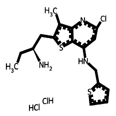 CC[C@H](N)Cc1sc2c(NCc3cccs3)cc(Cl)nc2c1C.Cl.Cl